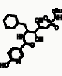 CCCCNS(=O)(=O)C[C@H](O)[C@H](O)[C@H](CC1CCCCC1)NC(=O)c1ccc(O)nc1